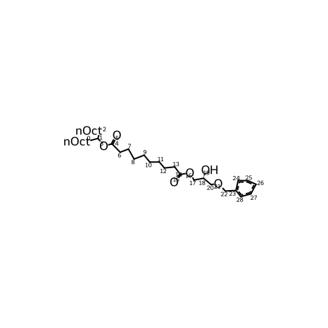 CCCCCCCCC(CCCCCCCC)OC(=O)CCCCCCCCC(=O)OC[C@H](O)COCc1ccccc1